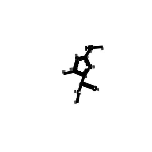 CCC(=O)c1nc(NC)sc1C